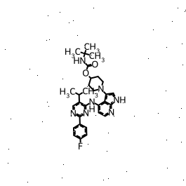 CC(C)c1cnc(-c2ccc(F)cc2)nc1Nc1ccnc2[nH]cc(N3CCC(OC(=O)NC(C)(C)C)CC3)c12